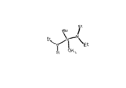 CCN(CC)[Si](C)(N(CC)CC)C(C)(C)C